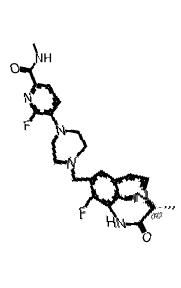 CNC(=O)c1ccc(N2CCN(Cc3cc4ccn5c4c(c3F)NC(=O)[C@H]5C)CC2)c(F)n1